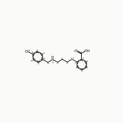 O=C(O)c1ccccc1SCCCNCc1ccc(Cl)cc1